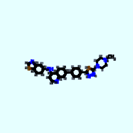 CN1CCN(c2nnc(-c3ccc(-c4ccc5c(Nc6ccc7scnc7c6)ccnc5c4)cc3)s2)CC1